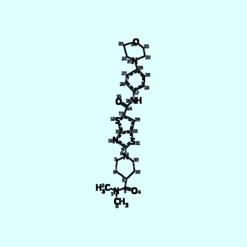 CN(C)C(=O)C1CCN(c2nc3sc(C(=O)Nc4ccc(N5CCOCC5)cc4)cc3s2)CC1